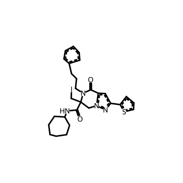 O=C1c2cc(-c3cccs3)nn2CC(CI)(C(=O)NC2CCCCCC2)N1CCCc1ccccc1